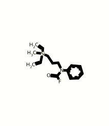 C=C[Si](C)(C=C)CCCN(C(=O)F)c1ccccc1